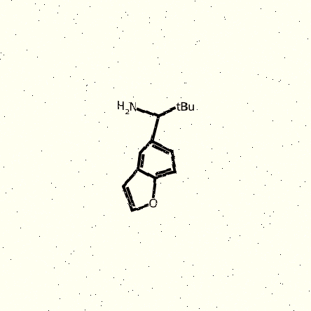 CC(C)(C)C(N)c1ccc2occc2c1